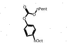 CCCCCCCCc1ccc(OC(=O)OCCCCC)cc1